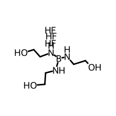 F.F.F.OCCNB(NCCO)NCCO